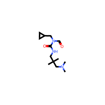 CN(C)CC(C)(C)CNC(=O)N(C=O)CC1CC1